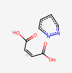 O=C(O)/C=C\C(=O)O.c1ccnnc1